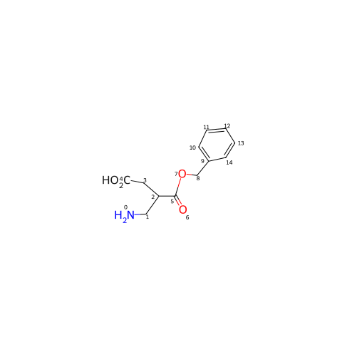 NCC(CC(=O)O)C(=O)OCc1ccccc1